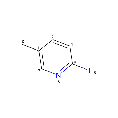 Cc1ccc(I)nc1